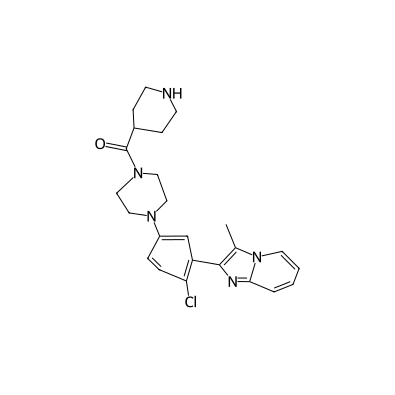 Cc1c(-c2cc(N3CCN(C(=O)C4CCNCC4)CC3)ccc2Cl)nc2ccccn12